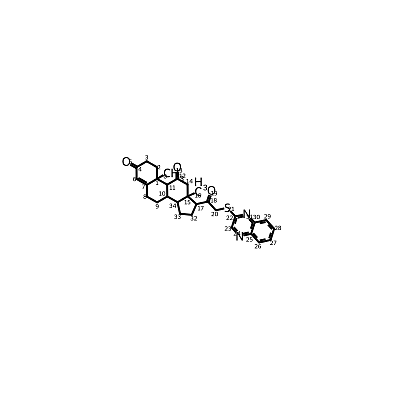 CC12CCC(=O)C=C1CCC1C2C(=O)CC2(C)C(C(=O)CSc3cnc4ccccc4n3)CCC12